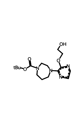 CC(C)(C)OC(=O)N1CCCN(c2nccnc2OCCO)CC1